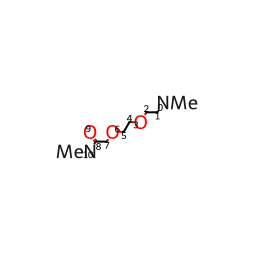 CNCCOCCOCC(=O)NC